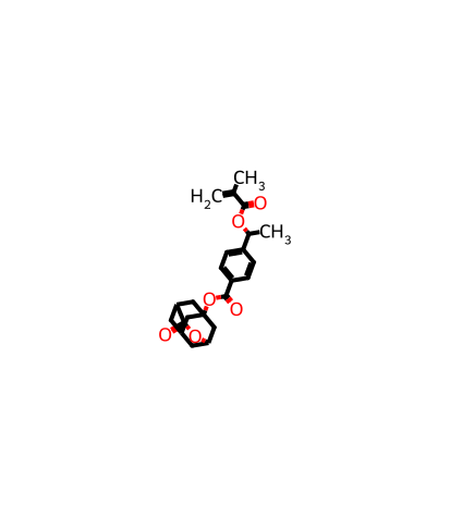 C=C(C)C(=O)OC(C)c1ccc(C(=O)OC23CC4CC(C2)OC(=O)C(C4)C3)cc1